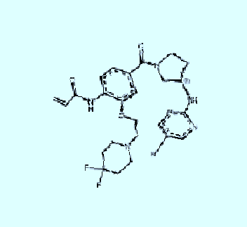 C=CC(=O)Nc1ccc(C(=O)N2CC[C@@H](Nc3ncc(Br)cn3)C2)cc1OCCN1CCC(F)(F)CC1